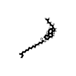 CCC(C)CCCCCCCCCCCCC(=O)O[C@H]1CC[C@@]2(C)C(=CC[C@H]3[C@@H]4CC[C@H]([C@H](C)CCCC(C)C)[C@@]4(C)CC[C@@H]32)C1